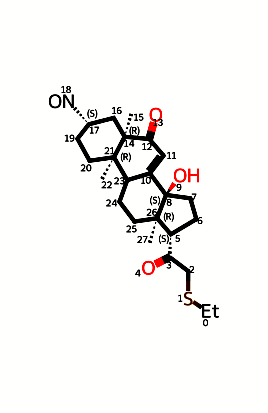 CCSCC(=O)[C@H]1CC[C@@]2(O)C3=CC(=O)[C@]4(C)C[C@@H](N=O)CC[C@]4(C)C3CC[C@]12C